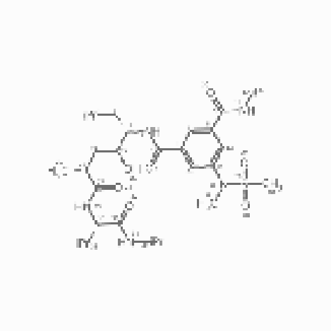 CC(C)C[C@H](NC(=O)c1cc(C(=O)NC(C)C)cc(N(C)S(C)(=O)=O)c1)[C@@H](O)C[C@@H](C)C(=O)N[C@H](C(=O)NC(C)C)C(C)C